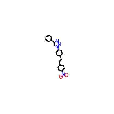 O=[N+]([O-])c1ccc(/C=C/c2ccc(-n3cc(-c4ccccc4)nn3)cc2)cc1